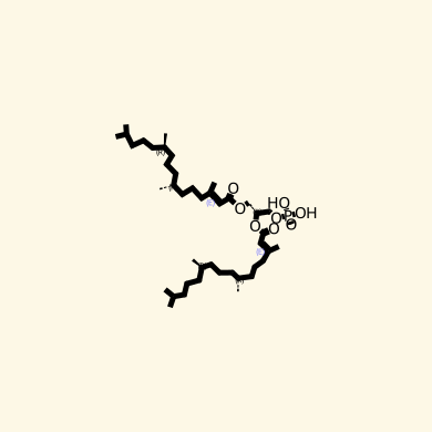 C/C(=C\C(=O)OC[C@H](COP(=O)(O)O)OC(=O)/C=C(\C)CCC[C@H](C)CCC[C@H](C)CCCC(C)C)CCC[C@H](C)CCC[C@H](C)CCCC(C)C